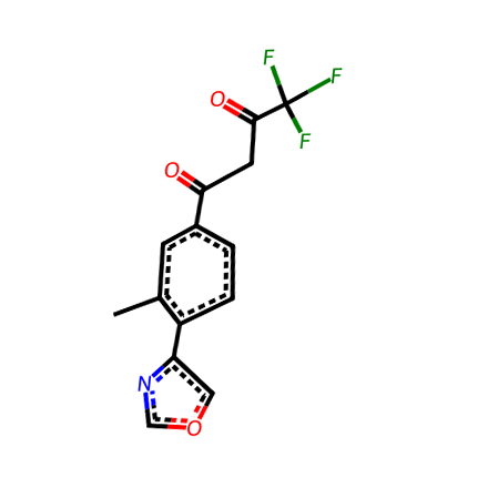 Cc1cc(C(=O)CC(=O)C(F)(F)F)ccc1-c1cocn1